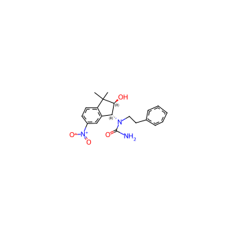 CC1(C)c2ccc([N+](=O)[O-])cc2[C@@H](N(CCc2ccccc2)C(N)=O)[C@@H]1O